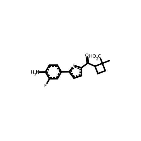 CC1(C(=O)O)CCC1C(=O)c1ccc(-c2ccc(N)c(F)c2)s1